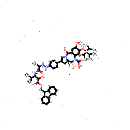 COc1cc2c(cc1O[Si](C(C)C)(C(C)C)C(C)C)N(C(=O)O)[C@@H](O)[C@@H]1CC(c3ccc(NNC(C)C(=O)NC(C(=O)C(=O)OCC4c5ccccc5-c5ccccc54)C(C)C)cc3)=CN1C2=O